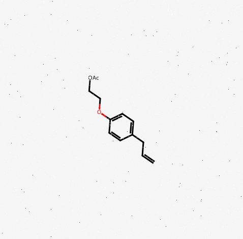 C=CCc1ccc(OCCOC(C)=O)cc1